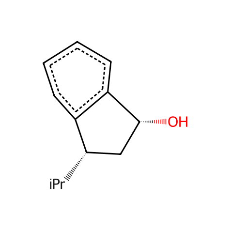 CC(C)[C@H]1C[C@@H](O)c2ccccc21